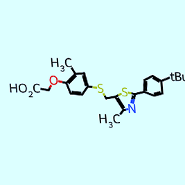 Cc1cc(SCc2sc(-c3ccc(C(C)(C)C)cc3)nc2C)ccc1OCC(=O)O